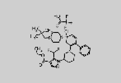 CCOC(=O)c1cnn(C2CCCN(C3=C(c4ccccc4)C=CC(Cl)(N4CCN(CC(C)(C)C)CC4)C3)C2)c1C(F)F.O=C(O)C(F)(F)F